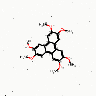 [SiH3]Oc1cc2c3cc(O[SiH3])c(O[SiH3])cc3c3cc(O[SiH3])c(O[SiH3])cc3c2cc1O[SiH3]